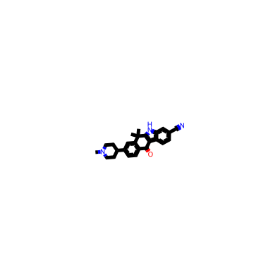 CN1CCC(c2ccc3c(c2)C(C)(C)c2[nH]c4cc(C#N)ccc4c2C3=O)CC1